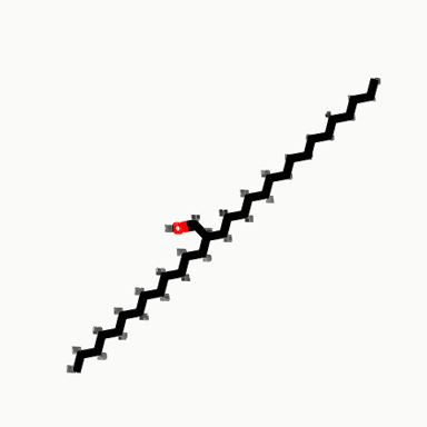 CCCCCCCCCCCCCCCCC([C]=O)CCCCCCCCCCCCC